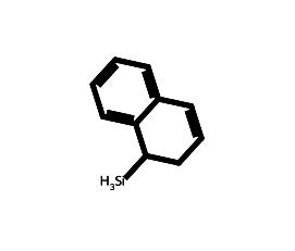 [SiH3]C1CC=Cc2ccccc21